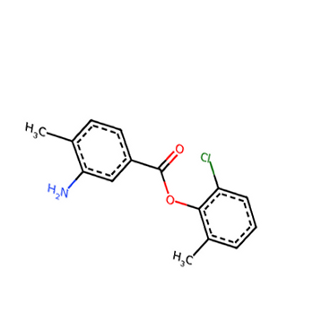 Cc1ccc(C(=O)Oc2c(C)cccc2Cl)cc1N